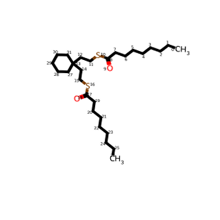 CCCCCCCCC(=O)SCCC1(CCSC(=O)CCCCCCCC)CCCCC1